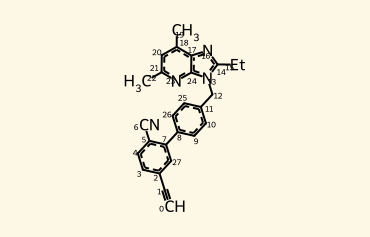 C#Cc1ccc(C#N)c(-c2ccc(Cn3c(CC)nc4c(C)cc(C)nc43)cc2)c1